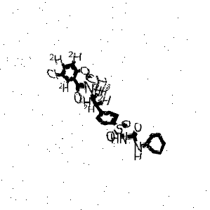 [2H]c1c([2H])c(OC)c(C(=O)NC([2H])([2H])C([2H])([2H])c2ccc(S(=O)(=O)NC(=O)NC3CCCCC3)cc2)c([2H])c1Cl